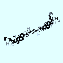 CC(C)CCC[C@@H](C)[C@H]1CCC2C3CC=C4CC(OC(=O)NCCSSCCNC(=O)OC5CCC6(C)C(=CCC7C6CCC6(C)C7CC[C@@H]6[C@H](C)CCCC(C)C)C5)CCC4(C)C3CCC21C